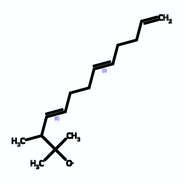 C=CCC/C=C/CC/C=C/C(C)C(C)(C)[O]